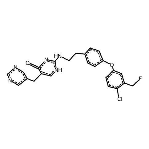 O=c1nc(NCCc2ccc(Oc3ccc(Cl)c(CF)c3)cc2)[nH]cc1Cc1cncnc1